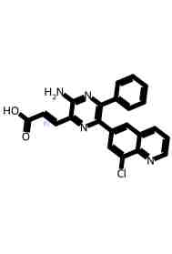 Nc1nc(-c2ccccc2)c(-c2cc(Cl)c3ncccc3c2)nc1/C=C/C(=O)O